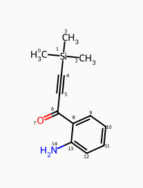 C[Si](C)(C)C#CC(=O)c1ccccc1N